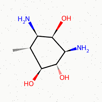 C[C@@H]1[C@@H](N)[C@@H](O)[C@@H](N)[C@H](O)[C@H]1O